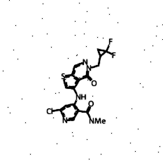 CNC(=O)c1cnc(Cl)cc1Nc1csc2cnn(CC3CC3(F)F)c(=O)c12